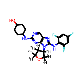 [2H]C1([2H])OC([2H])([2H])C([2H])(n2c(Nc3c(F)cc(F)cc3F)nc3cnc(NC4CCC(O)CC4)nc32)C1([2H])[2H]